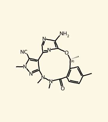 Cc1ccc2c(c1)[C@@H](C)Oc1nc(cnc1N)-c1c(nn(C)c1C#N)N(C)N(C)C2=O